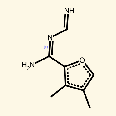 Cc1coc(/C(N)=N\C=N)c1C